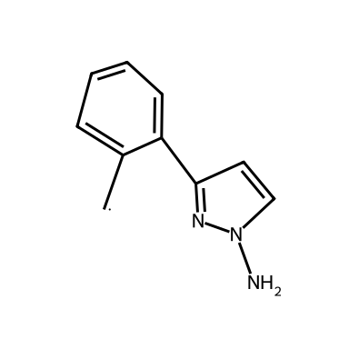 [CH2]c1ccccc1-c1ccn(N)n1